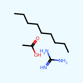 CC(=O)O.CCCCCCCCC.N=C(N)N